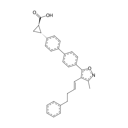 Cc1noc(-c2ccc(-c3ccc([C@@H]4C[C@H]4C(=O)O)cc3)cc2)c1C=CCCc1ccccc1